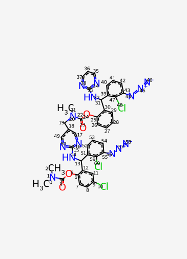 CN(C)C(=O)Oc1ccc(Cl)cc1C(Nc1ncc(CN(C)C(=O)Oc2ccccc2C(Nc2ncccn2)c2cccc(N=[N+]=[N-])c2Cl)cn1)c1cccc(N=[N+]=[N-])c1Cl